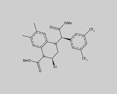 CC[C@@H]1CN([C@@H](C(=O)OC)c2cc(C(F)(F)F)cc(C(F)(F)F)c2)c2cc(C)c(C)cc2N1C(=O)OC